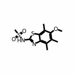 COc1c(C)c(C)c2nc(NS(C)(=O)=O)sc2c1C